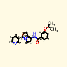 CC(C)Oc1cccc(C(=O)Nc2ccn3c2CS[C@@H]3c2cccnc2)c1